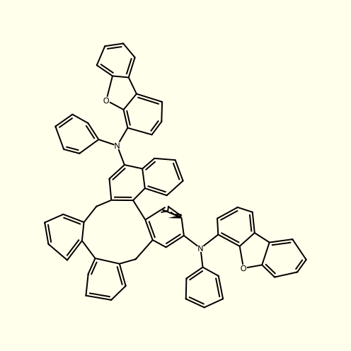 c1ccc(N(c2cc3c(c4ccccc24)-c2c(cc(N(c4ccccc4)c4cccc5c4oc4ccccc45)c4ccccc24)Cc2ccccc2-c2ccccc2C3)c2cccc3c2oc2ccccc23)cc1